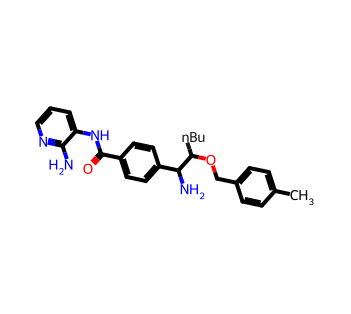 CCCCC(OCc1ccc(C)cc1)C(N)c1ccc(C(=O)Nc2cccnc2N)cc1